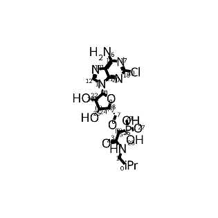 CC(C)CNC(=O)[C@H](OC[C@H]1O[C@@H](n2cnc3c(N)nc(Cl)nc32)[C@H](O)[C@@H]1O)P(=O)(O)O